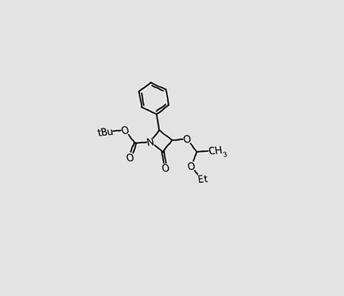 CCOC(C)OC1C(=O)N(C(=O)OC(C)(C)C)C1c1ccccc1